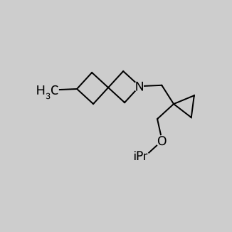 CC1CC2(C1)CN(CC1(COC(C)C)CC1)C2